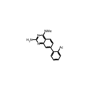 CNc1nc(N)nc2cc(-c3ccccc3C(C)=O)ccc12